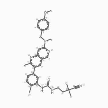 COc1ccc(CN(C)c2cc3nc(C)c(-c4ccc(F)c(NC(=O)NCCC(C)(C)C#N)c4)cc3cn2)cc1